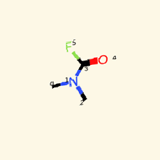 CN(C)C(=O)F